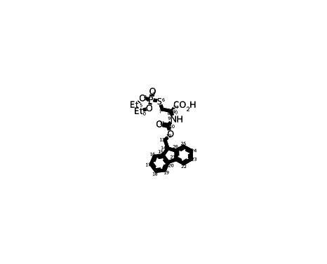 CCOP(=O)(OCC)SC[C@H](NC(=O)OCC1c2ccccc2-c2ccccc21)C(=O)O